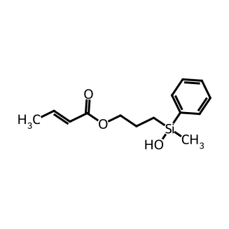 CC=CC(=O)OCCC[Si](C)(O)c1ccccc1